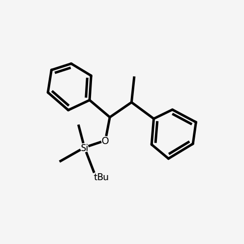 CC(c1ccccc1)C(O[Si](C)(C)C(C)(C)C)c1ccccc1